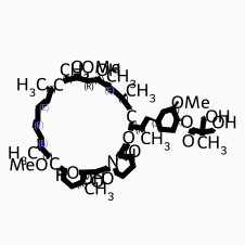 CO[C@H]1C[C@@H]2CC[C@@H](C)[C@@](O)(O2)C(=O)C(=O)N2CCCC[C@H]2C(=O)O[C@H]([C@H](C)C[C@@H]2CC[C@@H](OC(=O)C(C)(CO)CO)[C@H](OC)C2)CC[C@H](C)/C=C(\C)[C@@H](O)[C@@H](OC)C(=O)[C@H](C)C[C@H](C)/C=C/C=C/C=C/1C